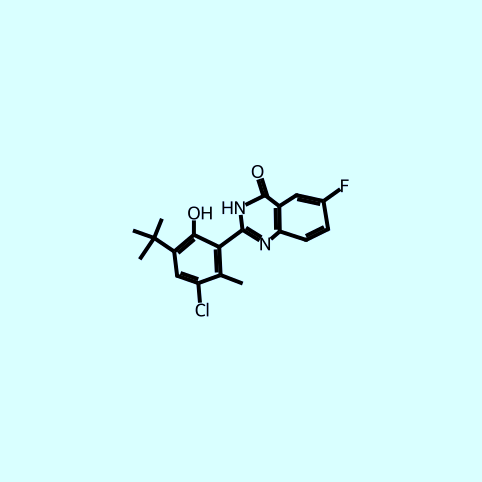 Cc1c(Cl)cc(C(C)(C)C)c(O)c1-c1nc2ccc(F)cc2c(=O)[nH]1